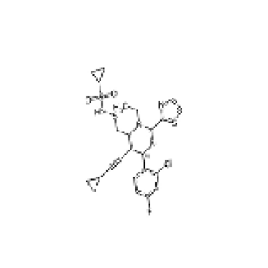 CCN1C(c2nccs2)=N[C@@H](c2ccc(F)cc2Cl)C(C#CC2CC2)=C1CSNS(=O)(=O)C1CC1